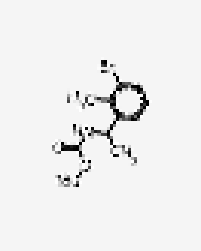 Cc1c(Br)cccc1C(C)NC(=O)OC(C)(C)C